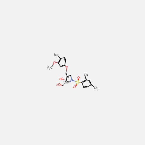 N#Cc1ccc(OC[C@H]2CN(S(=O)(=O)c3ccc(C(F)(F)F)cc3C#N)C[C@@]2(O)CO)cc1OC(F)(F)F